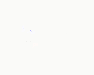 C=C(/N=C(\N=C(/C)C1=CCCC(c2ccc(C3=CCCC=C3)c(C3=CC=CCC3)c2)C=C1)c1cccc(-c2ccccc2O)c1)C1=CCC=CCC1